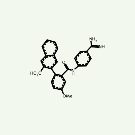 COc1ccc(-c2cc3ccccc3cc2C(=O)O)c(C(=O)Nc2ccc(C(=N)N)cc2)c1